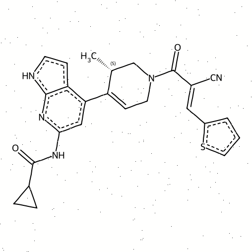 C[C@@H]1CN(C(=O)C(C#N)=Cc2cccs2)CC=C1c1cc(NC(=O)C2CC2)nc2[nH]ccc12